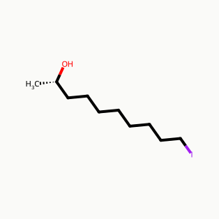 C[C@H](O)CCCCCCCCI